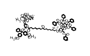 [C-]#[N+]CCOP(O[C@@H]1C[C@@H](COC(c2ccccc2)(c2ccc(OC)cc2)c2ccc(OC)cc2)N(C(=O)CCCCCCC(=O)CCCCCCCCOC2OC(COC(=O)c3ccccc3)C(OC3OC(COC(=O)c4ccccc4)C(OC(=O)c4ccccc4)C(OC(=O)c4ccccc4)C3OC(=O)c3ccccc3)C(C)C2C)C1)N(C(C)C)C(C)C